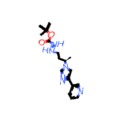 C[C@H](CCNNC(=O)OC(C)(C)C)n1cnc(-c2cccnc2)c1